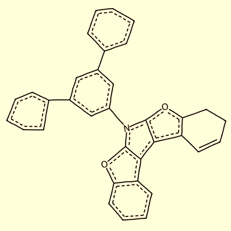 C1=Cc2c(oc3c2c2c4ccccc4oc2n3-c2cc(-c3ccccc3)cc(-c3ccccc3)c2)CC1